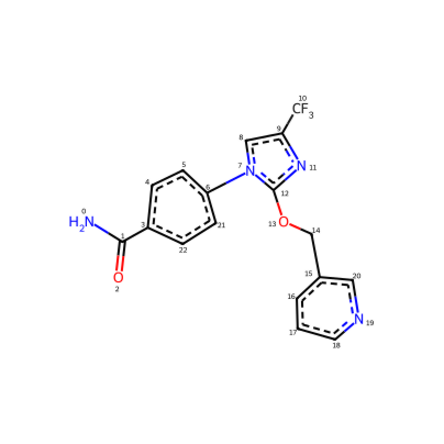 NC(=O)c1ccc(-n2cc(C(F)(F)F)nc2OCc2cccnc2)cc1